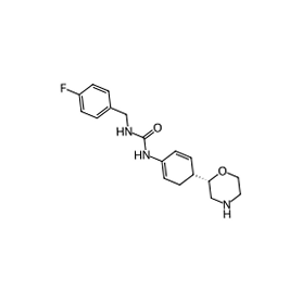 O=C(NCc1ccc(F)cc1)NC1=CCC([C@H]2CNCCO2)C=C1